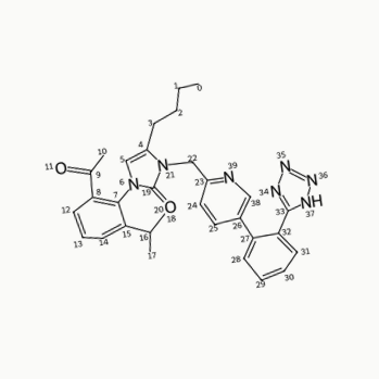 CCCCc1cn(-c2c(C(C)=O)cccc2C(C)C)c(=O)n1Cc1ccc(-c2ccccc2-c2nnn[nH]2)cn1